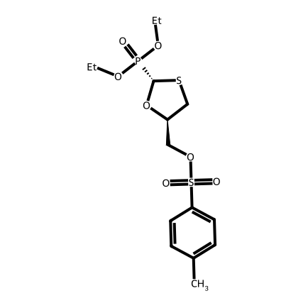 CCOP(=O)(OCC)[C@H]1O[C@H](COS(=O)(=O)c2ccc(C)cc2)CS1